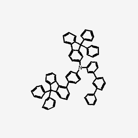 c1ccc(-c2cccc(-c3cccc(N(c4ccc(-c5cccc6c5-c5ccccc5C6(c5ccccc5)c5ccccc5)cc4)c4ccc5c(c4)C(c4ccccc4)(c4ccccc4)c4ccccc4-5)c3)c2)cc1